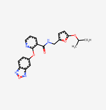 CC(Oc1ccc(CNC(=O)c2cccnc2Oc2ccc3nonc3c2)o1)C(=O)O